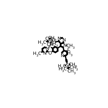 Cc1ccnc(Oc2ccc(-c3c(-c4cnc(C#C[Si](C)(C)C(C)(C)C)cc4C)n(C)c4ncnc(CO[Si](C)(C)C(C)(C)C)c34)cc2F)n1